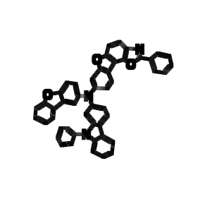 c1ccc(-c2nc3ccc4oc5cc(N(c6ccc7oc8ccccc8c7c6)c6ccc7c8ccccc8n(-c8ccccc8)c7c6)ccc5c4c3o2)cc1